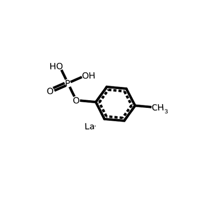 Cc1ccc(OP(=O)(O)O)cc1.[La]